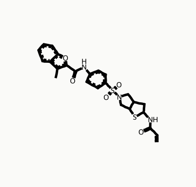 C=CC(=O)NC1CC2CN(S(=O)(=O)c3ccc(NC(=O)c4oc5ccccc5c4C)cc3)CC2S1